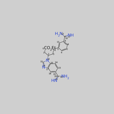 CCOC(=O)CC(CCc1cccc(C(=N)N)c1)n1cnc2cc(C(=N)N)ccc21